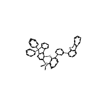 C[Si]1(C)c2cccc(-c3cccc(-c4cccc5c4sc4ccccc45)c3)c2Sc2c1ccc1c2-c2ccccc2C1(c1ccccc1)c1ccccc1